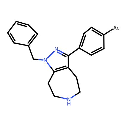 CC(=O)c1ccc(-c2nn(Cc3ccccc3)c3c2CCNCC3)cc1